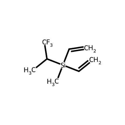 C=C[Si](C)(C=C)C(C)C(F)(F)F